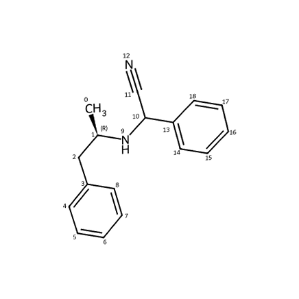 C[C@H](Cc1ccccc1)NC(C#N)c1ccccc1